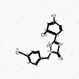 S=c1nc(-c2ccc(Cl)cc2Cl)[nH]n1Cc1ccc(Cl)cc1